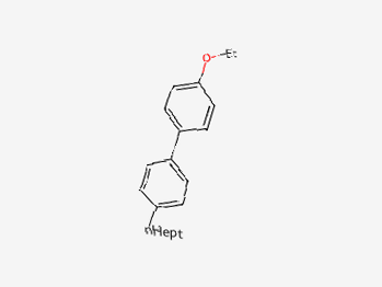 CCCCCCCc1ccc(-c2ccc(OCC)cc2)cc1